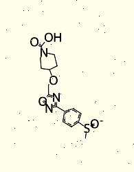 C[S+]([O-])c1ccc(-c2noc(COC3CCN(C(=O)O)CC3)n2)cc1